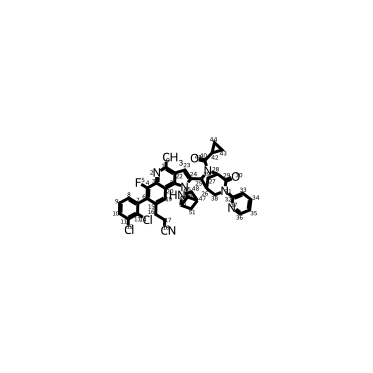 Cc1nc2c(F)c(-c3cccc(Cl)c3Cl)c(CCC#N)cc2c2c1cc(C1C3CC(C(=O)N(c4ccccn4)C3)N1C(=O)C1CC1)n2C1C2CNC1C2